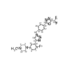 CN1CCN(c2ccc(F)c(-c3cn(Cc4ccc(-c5nnc(C(F)F)o5)cc4)nn3)c2)CC1